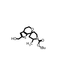 CC1CC2(CCN1C(=O)OC(C)(C)C)OCCc1cc(CO)sc12